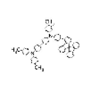 Cc1ccc(N(c2ccc(C)cc2)c2ccc(-c3ccc(N(c4ccc(C)cc4)c4ccc(-c5cccc6c5-c5ccccc5C65C6=C(C=CCC6)c6ccccc65)cc4)cc3)cc2)cc1